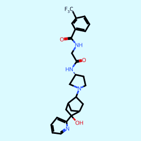 O=C(CNC(=O)c1cccc(C(F)(F)F)c1)N[C@@H]1CCN(C2CC3CC2CC3(O)c2ccccn2)C1